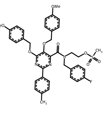 COc1ccc(COc2nc(-c3ccc(C)cc3)nc(C(=O)N(CCOS(C)(=O)=O)Cc3ccc(F)cc3)c2OCc2ccc(OC)cc2)cc1